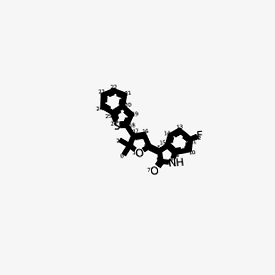 CC1(C)OC(=C2C(=O)Nc3cc(F)ccc32)C=C1c1cc2ccccc2s1